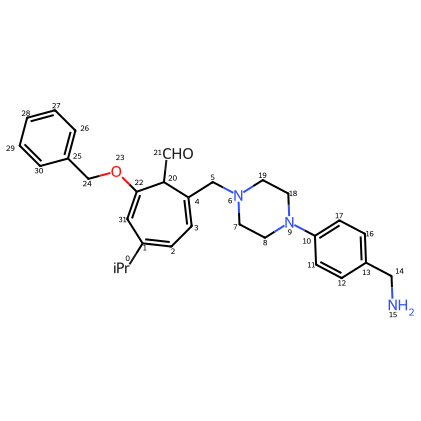 CC(C)C1=CC=C(CN2CCN(c3ccc(CN)cc3)CC2)C(C=O)C(OCc2ccccc2)=C1